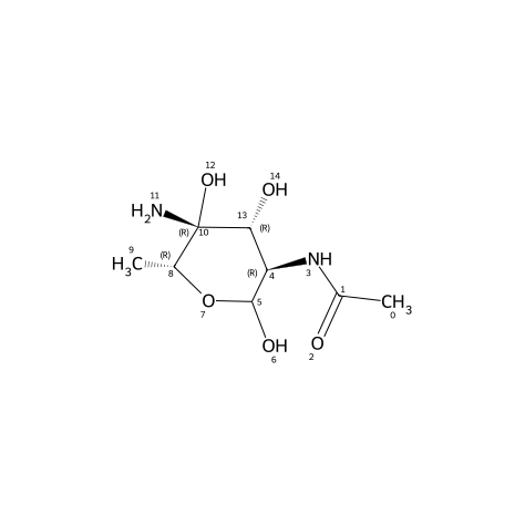 CC(=O)N[C@H]1C(O)O[C@H](C)[C@](N)(O)[C@@H]1O